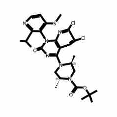 CSc1ccnc(C(C)C)c1-n1c(=O)nc(N2C[C@@H](C)N(C(=O)OC(C)(C)C)C[C@@H]2C)c2cc(Cl)c(Cl)nc21